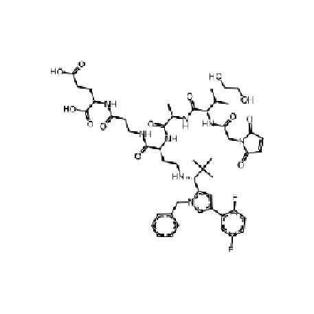 CC(C)[C@@H](NC(=O)CN1C(=O)C=CC1=O)C(=O)N[C@H](C)C(=O)N[C@@H](CCN[C@@H](c1cc(-c2cc(F)ccc2F)cn1Cc1ccccc1)C(C)(C)C)C(=O)NCCC(=O)N[C@H](CCC(=O)O)C(=O)O.OCCO